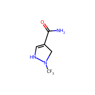 NC(=O)C1=CNN(C(F)(F)F)C1